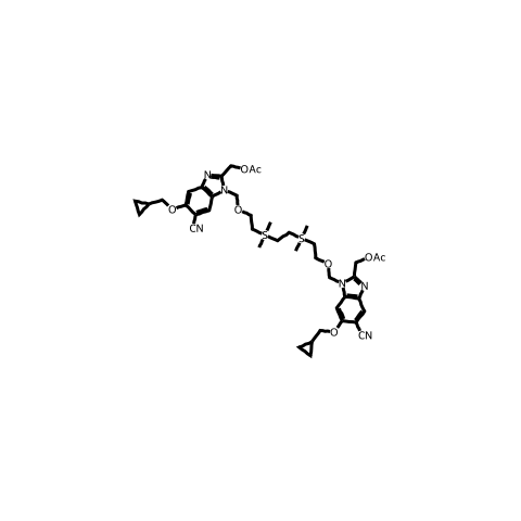 CC(=O)OCc1nc2cc(OCC3CC3)c(C#N)cc2n1COCCS(C)(C)CCS(C)(C)CCOCn1c(COC(C)=O)nc2cc(C#N)c(OCC3CC3)cc21